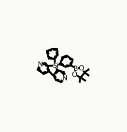 CC1(C)OB(c2cccc([Si]3(c4ccccc4)c4cnccc4-c4ccncc43)c2)OC1(C)C